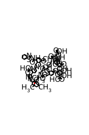 COCCN(CCOC12CC3(C)CC(C)(CC(Cn4ncc(-c5ccc(N6CCc7c(OC)ccc(C(=O)Nc8nc9ccccc9s8)c7C6)nc5C(=O)O)c4C)(C3)C1)C2)C(=O)OCc1ccc(O[C@@H]2O[C@H](C(=O)O)[C@@H](O)[C@H](O)[C@H]2O)cc1OCCOCCNC(=O)[C@H](CS(=O)(=O)O)NC(=O)CN1C(=O)C=CC1=O